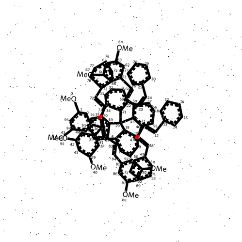 COc1cc(C=Cc2cccc(C=Cc3ccccc3)c2C(c2c(C=Cc3ccccc3)cccc2C=Cc2cc(OC)cc(OC)c2)(c2c(C=Cc3ccccc3)cccc2C=Cc2cc(OC)cc(OC)c2)c2c(C=Cc3ccccc3)cccc2C=Cc2cc(OC)cc(OC)c2)cc(OC)c1